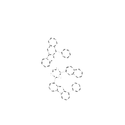 c1ccc(-c2cccc3c2oc2c(-c4nc(-c5ccc6ccccc6c5)nc(-c5cccc6c5sc5c(-c7ccccc7)c7ccccc7cc56)n4)cccc23)cc1